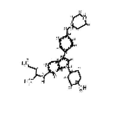 CCCC(C)Nc1ncc2c(-c3ccc(CN4CCOCC4)cc3)cn(C3CCC(O)CC3)c2n1